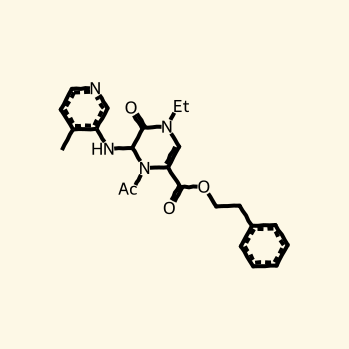 CCN1C=C(C(=O)OCCc2ccccc2)N(C(C)=O)C(Nc2cnccc2C)C1=O